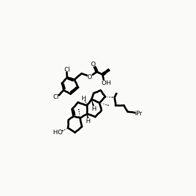 C=C(O)C(=O)OCc1ccc(Cl)cc1Cl.CC(C)CCCC(C)[C@H]1CC[C@H]2[C@@H]3CC=C4C[C@@H](O)CC[C@]4(C)[C@H]3CC[C@]12C